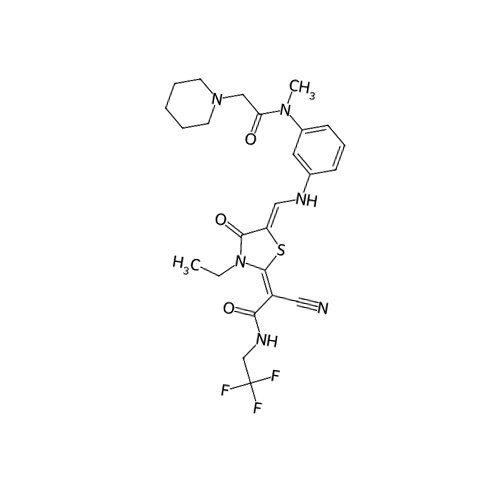 CCn1c(=C(C#N)C(=O)NCC(F)(F)F)sc(=CNc2cccc(N(C)C(=O)CN3CCCCC3)c2)c1=O